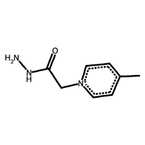 Cc1cc[n+](CC(=O)NN)cc1